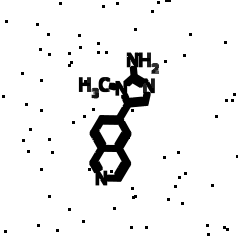 Cn1c(-c2ccc3cnccc3c2)cnc1N